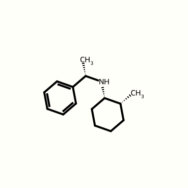 C[C@H](N[C@H]1CCCC[C@H]1C)c1ccccc1